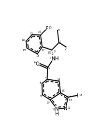 CC(C)[C@H](NC(=O)c1ccc2[nH]nc(I)c2c1)c1ccccc1F